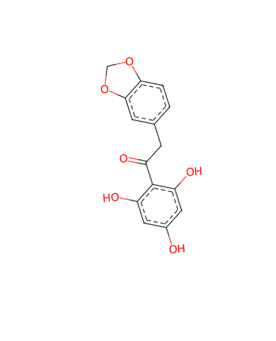 O=C(Cc1ccc2c(c1)OCO2)c1c(O)cc(O)cc1O